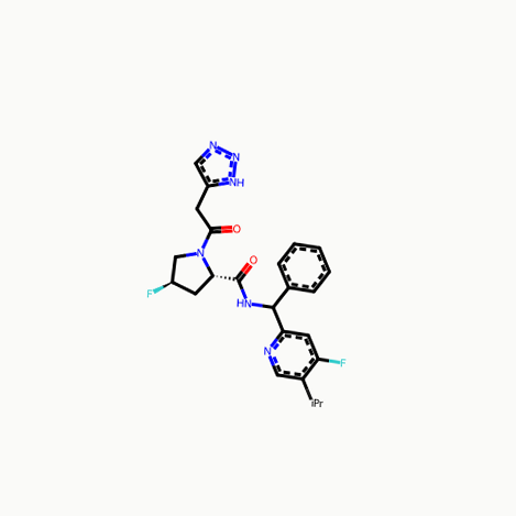 CC(C)c1cnc(C(NC(=O)[C@@H]2C[C@@H](F)CN2C(=O)Cc2cnn[nH]2)c2ccccc2)cc1F